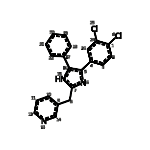 Clc1ccc(-c2nc(Cc3cccnc3)[nH]c2-c2ccccc2)cc1Cl